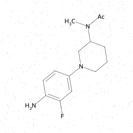 CC(=O)N(C)C1CCCN(c2ccc(N)c(F)c2)C1